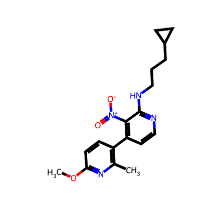 COc1ccc(-c2ccnc(NCCCC3CC3)c2[N+](=O)[O-])c(C)n1